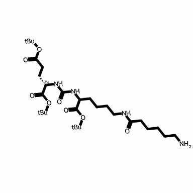 CC(C)(C)OC(=O)CC[C@H](NC(=O)NC(CCCCNC(=O)CCCCCN)C(=O)OC(C)(C)C)C(=O)OC(C)(C)C